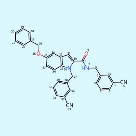 N#Cc1cccc(CNC(=O)c2cc3cc(OCc4ccccc4)ccc3n2Cc2cccc(C#N)c2)c1